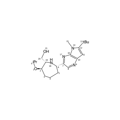 CC(C)O[C@@H]1CCC[C@@H](c2cnc3cc(C(C)(C)C)n(C)c3n2)N[C@H]1CO